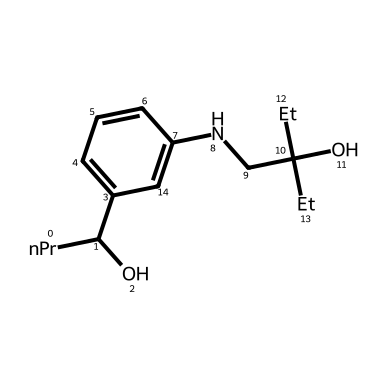 CCCC(O)c1cccc(NCC(O)(CC)CC)c1